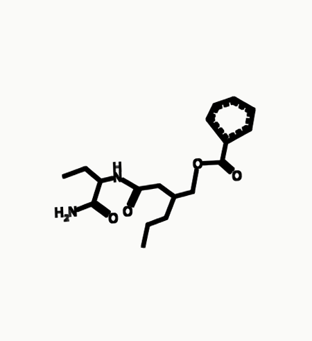 CCCC(COC(=O)c1ccccc1)CC(=O)NC(CC)C(N)=O